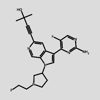 CC(C)(O)C#Cc1cc2c(-c3nc(N)ncc3F)cn(C3CCN(CCF)C3)c2cn1